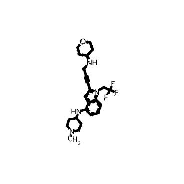 CN1CCC(Nc2cccc3c2cc(C#CCNC2CCOCC2)n3CC(F)(F)F)CC1